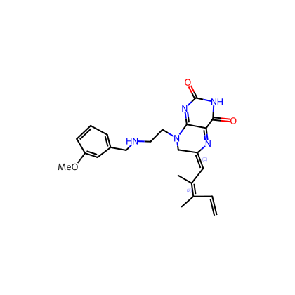 C=C/C(C)=C(C)\C=C1/CN(CCNCc2cccc(OC)c2)C2=NC(=O)NC(=O)C2=N1